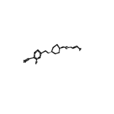 N#Cc1ccc(CC[C@H]2CC[C@H](CCCC=CF)CC2)cc1F